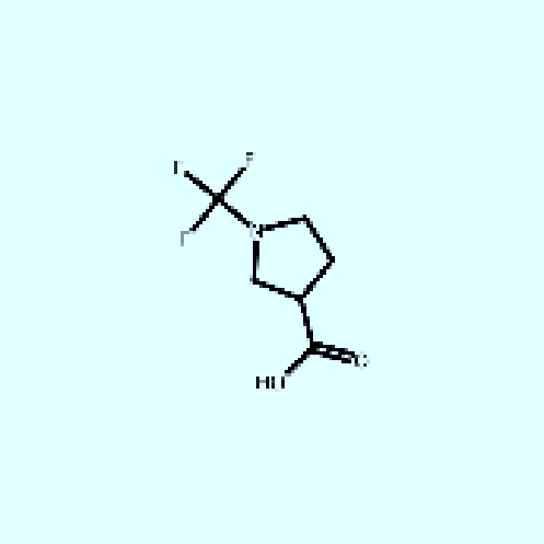 O=C(O)C1CCN(C(F)(F)F)C1